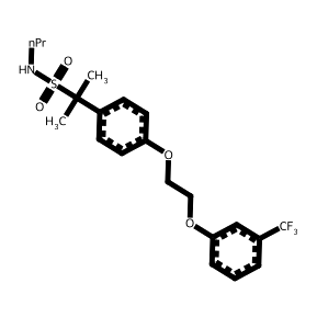 CCCNS(=O)(=O)C(C)(C)c1ccc(OCCOc2cccc(C(F)(F)F)c2)cc1